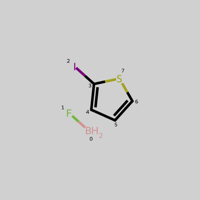 BF.Ic1cccs1